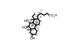 C[C@H](CCC(=O)O)[C@H]1CC[C@H]2[C@@H]3C(O)C(O)[C@@H]4C[C@H](O)CC[C@]4(C)[C@H]3CC[C@]12C